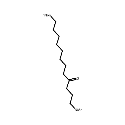 CCCCCCCCCCCCCCCCCC(=O)CCCNC